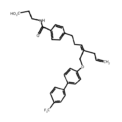 C=CCC(=CCCc1ccc(C(=O)NCCC(=O)O)cc1)COc1ccc(-c2ccc(C(F)(F)F)cc2)cc1